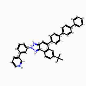 CC(C)(C)c1ccc2c(c1)c(-c1ccc(-c3ccc(-c4ccccc4)cc3)cc1)cc1nn(-c3cccc(-c4cccnc4)c3)nc12